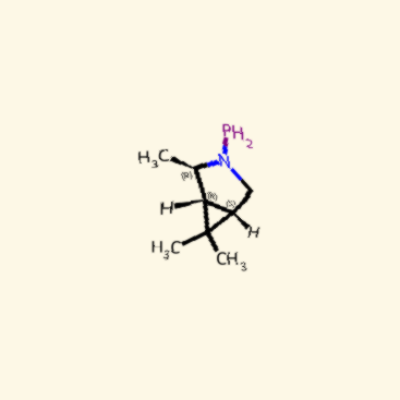 C[C@@H]1[C@@H]2[C@H](CN1P)C2(C)C